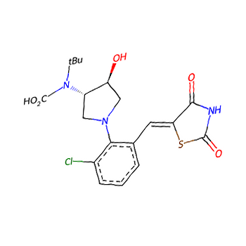 CC(C)(C)N(C(=O)O)[C@H]1CN(c2c(Cl)cccc2/C=C2\SC(=O)NC2=O)C[C@@H]1O